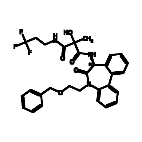 CC(O)(C(=O)NCCC(F)(F)F)C(=O)N[C@@H]1C(=O)N(CCOCc2ccccc2)c2ccccc2-c2ccccc21